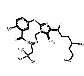 C=c1/c(=C(/F)CCN(CCCC)CCOC)nc(Oc2ccc(C)c(C(=O)OC)c2)n1COCC[Si](C)(C)C